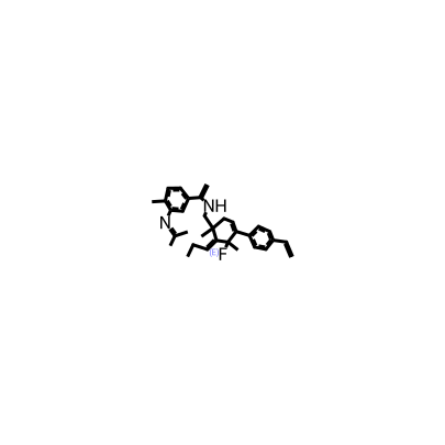 C=Cc1ccc(C2=CCC(C)(CNC(=C)c3ccc(C)c(N=C(C)C)c3)/C(=C\CC)C2(C)F)cc1